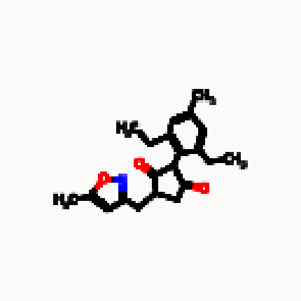 CCc1cc(C)cc(CC)c1C1C(=O)CC(Cc2cc(C)on2)C1=O